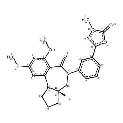 COc1nc(SC)nc2c1C(=O)N(c1cccc(-c3nn(C)c(=O)o3)c1)C[C@@H]1CCCN21